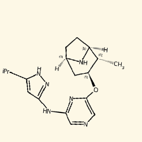 CC(C)c1cc(Nc2cncc(O[C@H]3C[C@H]4CC[C@H](N4)[C@@H]3C)n2)n[nH]1